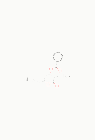 CCCCCCCCCCCC1CC(OC(=O)c2ccccc2)C(CCCCCC)C(=O)O1